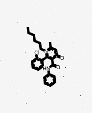 CCCCCCn1c(C)cc(=O)c(C(=O)Nc2ccccc2)c1-c1ccccc1Cl